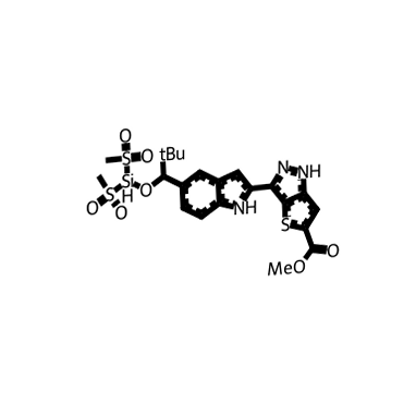 COC(=O)c1cc2[nH]nc(-c3cc4cc(C(O[SiH](S(C)(=O)=O)S(C)(=O)=O)C(C)(C)C)ccc4[nH]3)c2s1